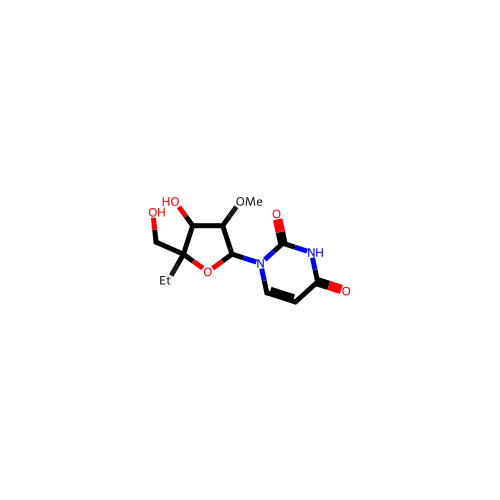 CCC1(CO)OC(n2ccc(=O)[nH]c2=O)C(OC)C1O